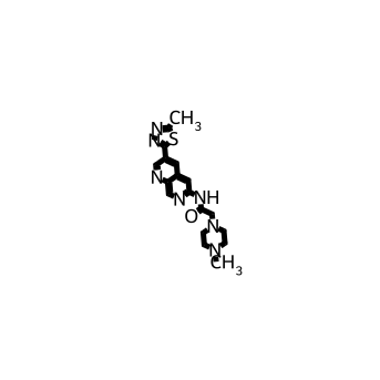 Cc1nnc(-c2cnc3cnc(NC(=O)CN4CCN(C)CC4)cc3c2)s1